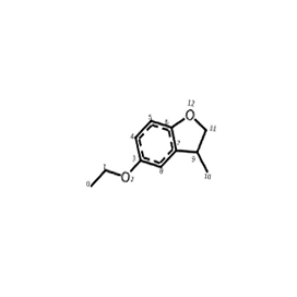 CCOc1ccc2c(c1)C(C)CO2